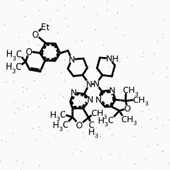 CCOc1cc(CN2CCC(N(c3ncc4c(n3)C(C)(C)OC4(C)C)N(c3ncc4c(n3)C(C)(C)OC4(C)C)C3CCNCC3)CC2)cc2c1OC(C)(C)C=C2